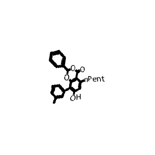 CCCCCc1cc(O)c(-c2cccc(C)c2)c2c1C(=O)OC(c1ccccc1)O2